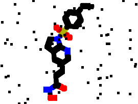 COc1ccc(S(=O)(=O)n2ccc3cc(C=CC(=O)NO)cnc32)cc1